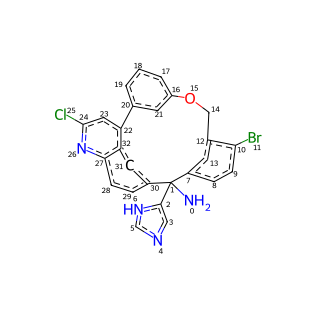 NC1(c2cnc[nH]2)c2ccc(Br)c(c2)COc2cccc(c2)-c2cc(Cl)nc3ccc1cc23